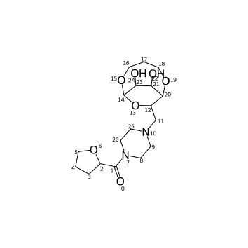 O=C(C1CCCO1)N1CCN(CC2OC3OCCCOC2C(O)C3O)CC1